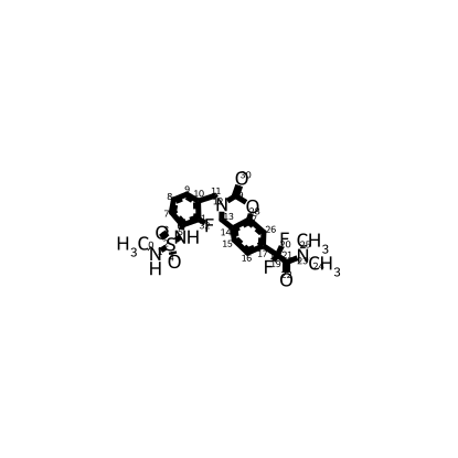 CNS(=O)(=O)Nc1cccc(CN2Cc3ccc(C(F)(F)C(=O)N(C)C)cc3OC2=O)c1F